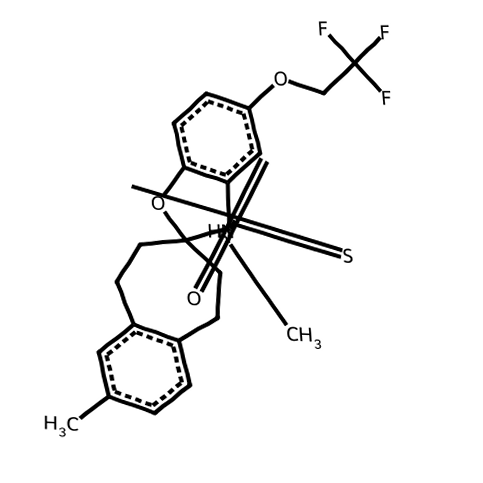 Cc1ccc2c(c1)CCC1(CC2)Oc2ccc(OCC(F)(F)F)cc2C12NC(=S)N(C)C2=O